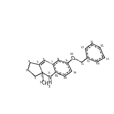 CC12CCCC1=Cc1cc(OCc3ccccc3)ccc1N2